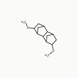 COC1CC2CC1C1C3CC(CC3OC)C21